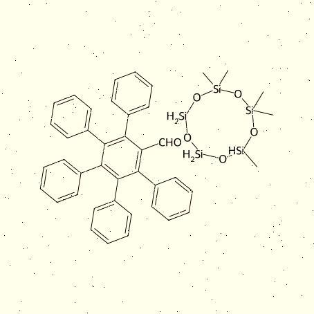 C[SiH]1O[SiH2]O[SiH2]O[Si](C)(C)O[Si](C)(C)O1.O=Cc1c(-c2ccccc2)c(-c2ccccc2)c(-c2ccccc2)c(-c2ccccc2)c1-c1ccccc1